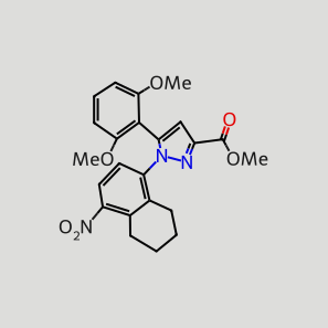 COC(=O)c1cc(-c2c(OC)cccc2OC)n(-c2ccc([N+](=O)[O-])c3c2CCCC3)n1